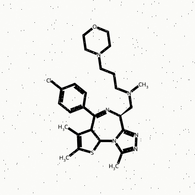 CC1=C(C)C2C(c3ccc(Cl)cc3)=N[C@@H](CN(C)CCCN3CCOCC3)c3nnc(C)n3C2S1